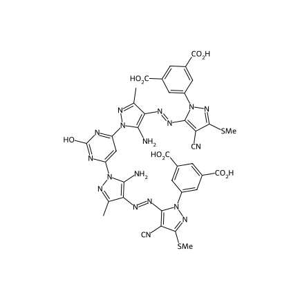 [C-]#[N+]c1c(SC)nn(-c2cc(C(=O)O)cc(C(=O)O)c2)c1N=Nc1c(C)nn(-c2cc(-n3nc(C)c(N=Nc4c(C#N)c(SC)nn4-c4cc(C(=O)O)cc(C(=O)O)c4)c3N)nc(O)n2)c1N